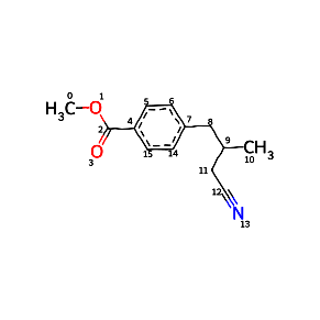 COC(=O)c1ccc(CC(C)CC#N)cc1